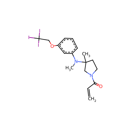 C=CC(=O)N1CCC(C)(N(C)c2cccc(OCC(I)(I)I)c2)C1